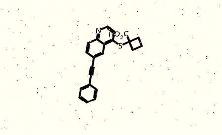 O=C(O)C1(Sc2ccnc3ccc(C#Cc4ccccc4)cc23)CCC1